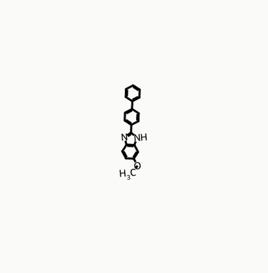 COc1ccc2nc(-c3ccc(-c4ccccc4)cc3)[nH]c2c1